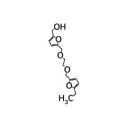 CCc1ccc(COCCOCc2ccc(CO)o2)o1